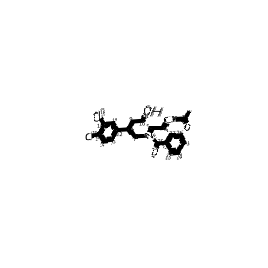 CC(=O)OCCN(CC(CCO)c1ccc(Cl)c(Cl)c1)C(=O)c1ccccc1